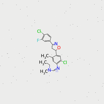 CCN(C)/C=N\c1cc(C)c(C2CC(c3ccc(Cl)c(F)c3)=NO2)cc1Cl